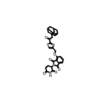 O=C1CCC(N2C(=O)c3cccc(OCc4csc(C(=O)CC56CC7CC(CC(C7)C5)C6)n4)c3C2=O)C(=O)N1